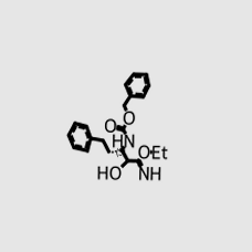 CCOC(=N)C(O)[C@H](CCc1ccccc1)NC(=O)OCc1ccccc1